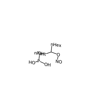 CCCCCCC(CCCCC)ON=O.OP(O)O